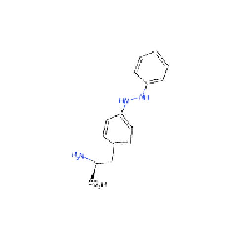 N[C@@H](Cc1ccc(NNc2ccccc2)cc1)C(=O)O